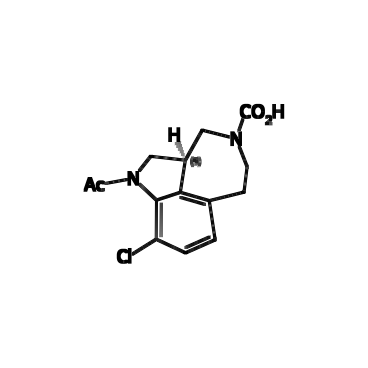 CC(=O)N1C[C@H]2CN(C(=O)O)CCc3ccc(Cl)c1c32